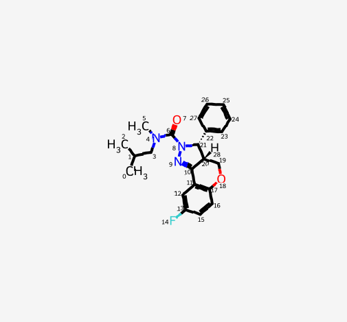 CC(C)CN(C)C(=O)N1N=C2c3cc(F)ccc3OC[C@H]2[C@H]1c1ccccc1